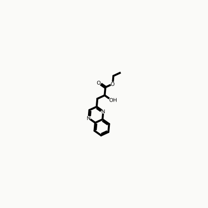 CCOC(=O)C(O)Cc1cnc2ccccc2n1